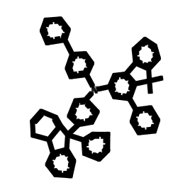 CC1(C)c2ccccc2-c2cc(N(c3ccc(-c4ccccc4)cc3)c3ccc(C4(c5ccccc5)C5=CC=CCC5c5ccccc54)cc3)cc(-c3ccccc3)c21